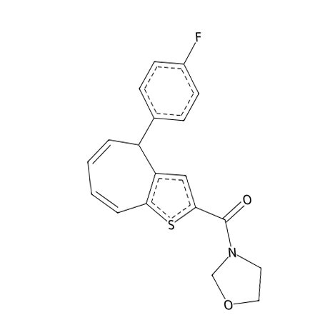 O=C(c1cc2c(s1)C=CC=CC2c1ccc(F)cc1)N1CCOC1